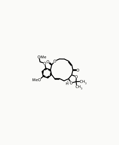 COCOc1cc(OC)cc2c1C(=O)OCC/C=C\C(=O)C1OC(C)(C)O[C@H]1C/C=C/2